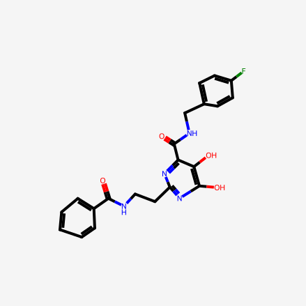 O=C(NCCc1nc(O)c(O)c(C(=O)NCc2ccc(F)cc2)n1)c1ccccc1